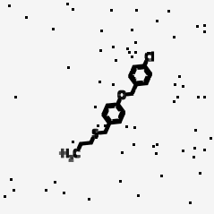 [CH2]CCSCc1ccc(OCc2ccc(Cl)cc2)cc1